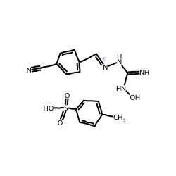 Cc1ccc(S(=O)(=O)O)cc1.N#Cc1ccc(/C=N/NC(=N)NO)cc1